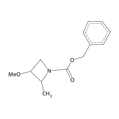 COC1CN(C(=O)OCc2ccccc2)C1C